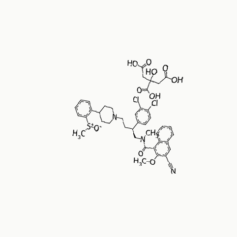 COc1c(C#N)cc2ccccc2c1C(=O)N(C)C[C@@H](CCN1CCC(c2ccccc2[S+](C)[O-])CC1)c1ccc(Cl)c(Cl)c1.O=C(O)CC(O)(CC(=O)O)C(=O)O